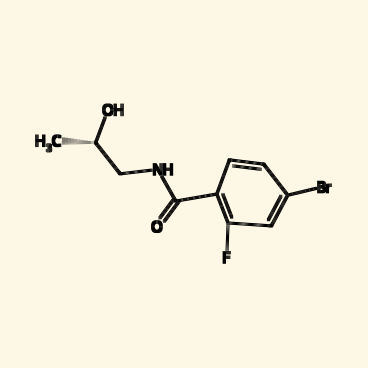 C[C@H](O)CNC(=O)c1ccc(Br)cc1F